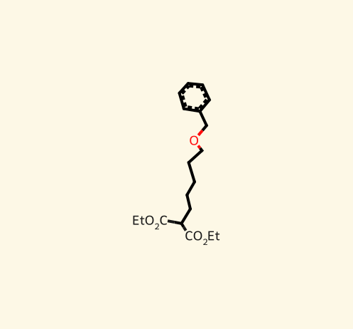 CCOC(=O)C(CCCCCOCc1ccccc1)C(=O)OCC